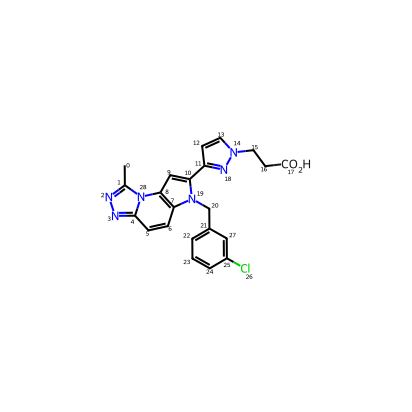 Cc1nnc2ccc3c(cc(-c4ccn(CCC(=O)O)n4)n3Cc3cccc(Cl)c3)n12